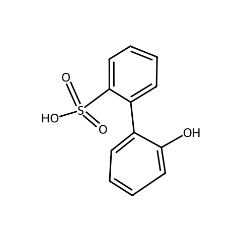 O=S(=O)(O)c1ccccc1-c1ccccc1O